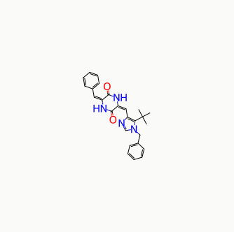 CC(C)(C)c1c(C=c2[nH]c(=O)c(=Cc3ccccc3)[nH]c2=O)ncn1Cc1ccccc1